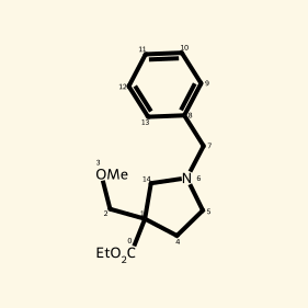 CCOC(=O)C1(COC)CCN(Cc2ccccc2)C1